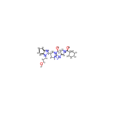 COCCCn1c(C2CCCN(C(=O)[C@@H]3CN(C(=O)C4CCCCC4)C[C@H]3N)C2)nc2ccccc21